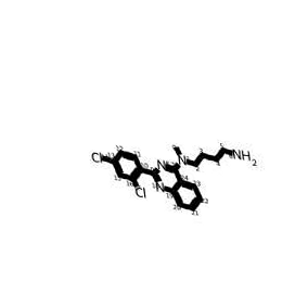 CN(CCCCN)c1nc(-c2ccc(Cl)cc2Cl)nc2ccccc12